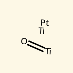 [O]=[Ti].[Pt].[Ti]